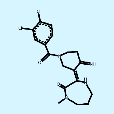 CN1CCCN/C(=C2/CN(C(=O)c3ccc(Cl)c(Cl)c3)CCC2=N)C1=O